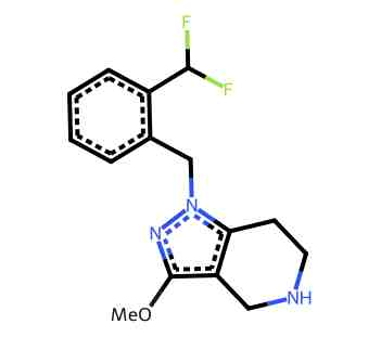 COc1nn(Cc2ccccc2C(F)F)c2c1CNCC2